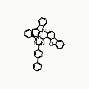 c1ccc(-c2ccc(-c3nc(-c4ccccc4)nc(-c4c(-n5c6ccccc6c6ccccc65)ccc5c4oc4ccccc45)n3)cc2)cc1